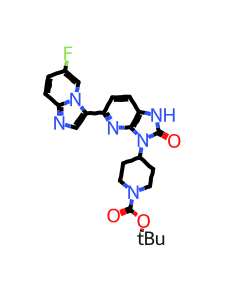 CC(C)(C)OC(=O)N1CCC(n2c(=O)[nH]c3ccc(-c4cnc5ccc(F)cn45)nc32)CC1